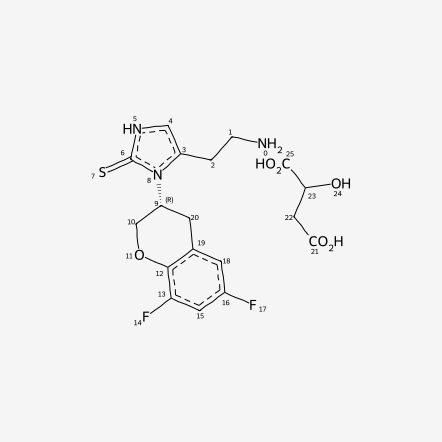 NCCc1c[nH]c(=S)n1[C@H]1COc2c(F)cc(F)cc2C1.O=C(O)CC(O)C(=O)O